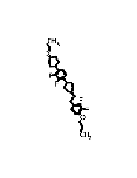 CCCCOc1ccc(CCC2CCC(c3ccc(C4CCC(OCCC)CC4)c(F)c3F)CC2)c(F)c1F